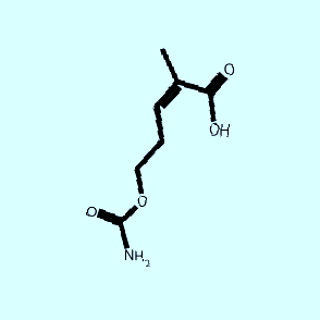 CC(=CCCOC(N)=O)C(=O)O